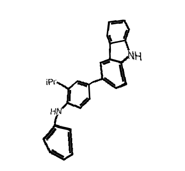 CC(C)c1cc(-c2ccc3[nH]c4ccccc4c3c2)ccc1Nc1ccccc1